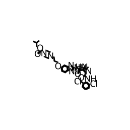 CC(C)COC(=O)N1CCN(CCCOc2ccc3[nH]c(NC(=O)c4[nH]cnc4C(=O)Nc4c(Cl)cccc4Cl)nc3c2)CC1